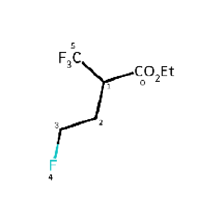 CCOC(=O)C(CCF)C(F)(F)F